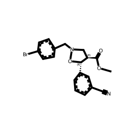 COC(=O)[C@@H]1CN(Cc2ccc(Br)cc2)O[C@H]1c1cccc(C#N)c1